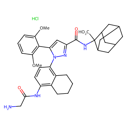 COc1cccc(OC)c1-c1cc(C(=O)NC2(C(=O)O)C3CC4CC(C3)CC2C4)nn1-c1ccc(NC(=O)CN)c2c1CCCC2.Cl